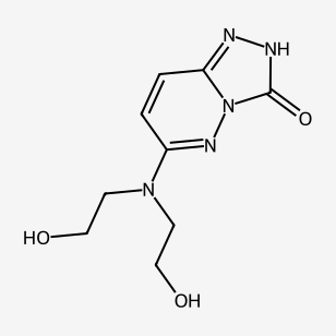 O=c1[nH]nc2ccc(N(CCO)CCO)nn12